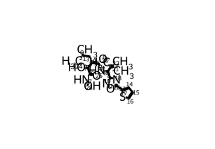 CC(C)C[C@@H](C(=O)N[C@H](c1noc(-c2cccs2)n1)C(C)(C)C)[C@H](O)C(=O)NO